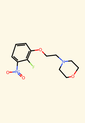 O=[N+]([O-])c1cccc(OCCN2CCOCC2)c1F